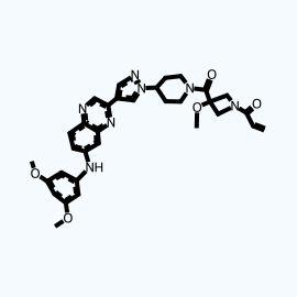 C=CC(=O)N1CC(OC)(C(=O)N2CCC(n3cc(-c4cnc5ccc(Nc6cc(OC)cc(OC)c6)cc5n4)cn3)CC2)C1